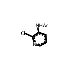 CC(=O)Nc1cccnc1Cl